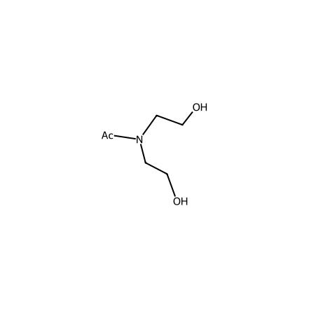 CC(=O)N(CCO)CCO